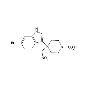 O=C(O)N1CCC(C[N+](=O)[O-])(c2c[nH]c3cc(Br)ccc23)CC1